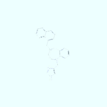 c1ccc2c(c1)SN(Cc1cccc3ccccc13)CCN2Cc1c[nH]cn1